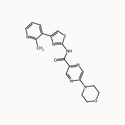 Cc1ncccc1-c1csc(NC(=O)c2cnc(N3CCOCC3)cn2)n1